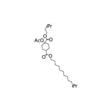 CC(=O)OC1(C(=O)OCCC(C)C)CCC(C(=O)OCCCCCCCCCCC(C)C)CC1